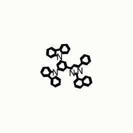 c1ccc(-c2cc(-c3cc(-n4c5ccccc5c5ccccc54)cc(-n4c5ccccc5c5ccccc54)c3)nc(-c3cccc4ccccc34)n2)cc1